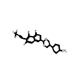 CC1CCC(C2COC(c3cc(F)c4c(F)c(C#CC(F)(F)F)c(F)cc4c3)OC2)CC1